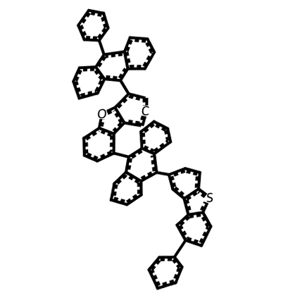 c1ccc(-c2ccc3sc4ccc(-c5c6ccccc6c(-c6cccc7oc8c(-c9c%10ccccc%10c(-c%10ccccc%10)c%10ccccc9%10)cccc8c67)c6ccccc56)cc4c3c2)cc1